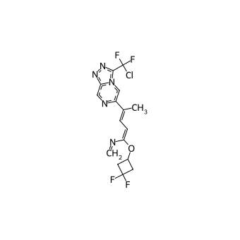 C=N/C(=C\C=C(/C)c1cn2c(C(F)(F)Cl)nnc2cn1)OC1CC(F)(F)C1